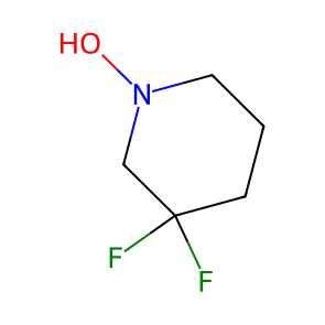 ON1CCCC(F)(F)C1